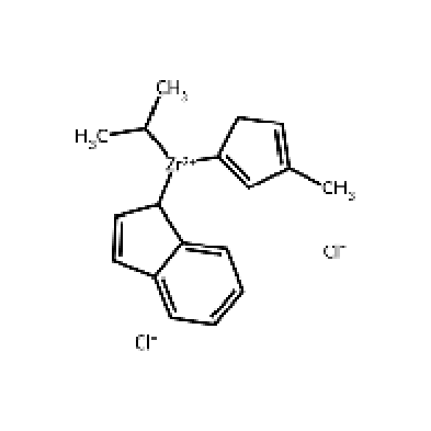 CC1=CC[C]([Zr+2]([CH](C)C)[CH]2C=Cc3ccccc32)=C1.[Cl-].[Cl-]